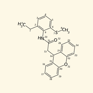 CCc1cccc(SC)c1NC(=O)CC1c2ccccc2Oc2ccccc21